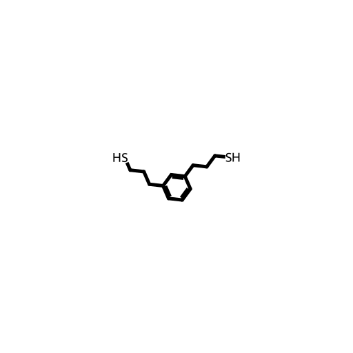 SCCCc1cccc(CCCS)c1